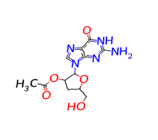 CC(=O)OC1CC(CO)OC1n1cnc2c(=O)[nH]c(N)nc21